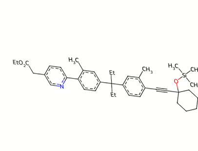 CCOC(=O)Cc1ccc(-c2ccc(C(CC)(CC)c3ccc(C#CC4(O[Si](C)(C)C)CCCCC4)c(C)c3)cc2C)nc1